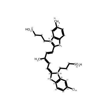 CC(C=Cc1sc2ccc(C)cc2[n+]1CCCS(=O)(=O)O)=CC=C1Sc2ccc(Cl)cc2N1CCCS(=O)(=O)O